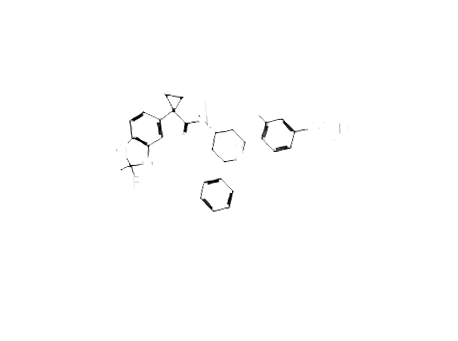 O=C(O)c1ccc([C@H]2C[C@H](NC(=O)C3(c4ccc5c(c4)OC(F)(F)O5)CC3)C[C@@H](c3ccccc3)O2)c(F)c1